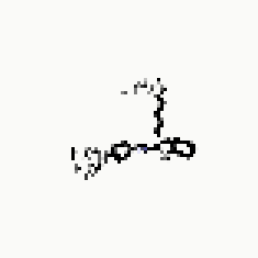 CCCCCCC[n+]1c(/C=C/c2ccc(N(CC)CC)cc2)sc2ccccc21.[I-]